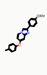 COc1ccc(-c2cn3ccc(Oc4ccc(C)cc4)cc3n2)cc1